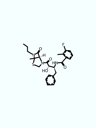 CCCN1C(=O)[C@H]2N(C(=O)[C@@H](O)[C@H](Cc3ccccc3)NC(=O)c3cccc(F)c3C)CSC21C